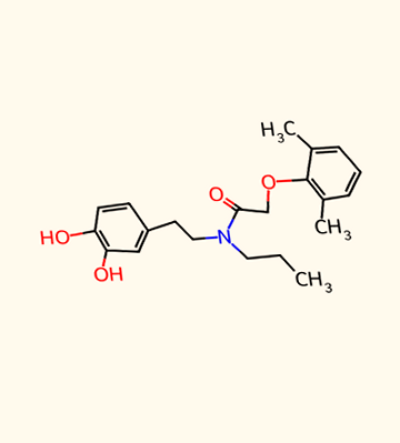 CCCN(CCc1ccc(O)c(O)c1)C(=O)COc1c(C)cccc1C